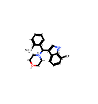 CCc1cccc2c(C(c3ccccc3OC)N3CCOCC3)c[nH]c12